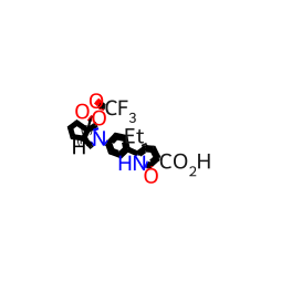 CCc1cc(C(=O)O)c(=O)[nH]c1-c1ccc(N2C[C@@H]3CCC[C@]3(C(=O)OC(=O)C(F)(F)F)C2)cc1